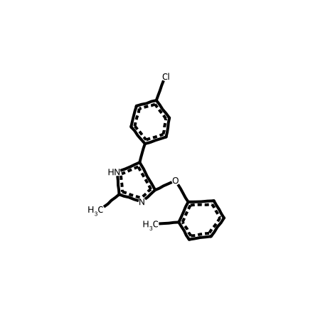 Cc1nc(Oc2ccccc2C)c(-c2ccc(Cl)cc2)[nH]1